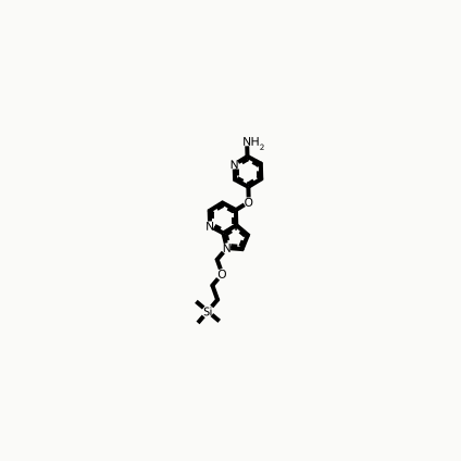 C[Si](C)(C)CCOCn1ccc2c(Oc3ccc(N)nc3)ccnc21